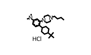 CCCCN1CCN(c2cc(N(C)C)ccc2C2CCC(C(C)(C)C)CC2)CC1.Cl